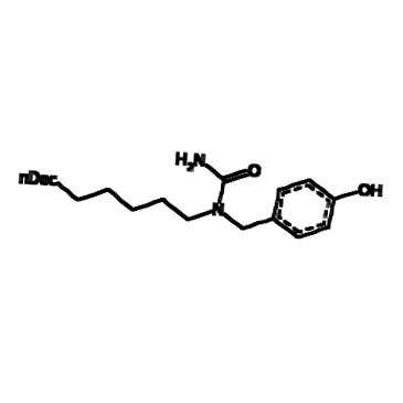 CCCCCCCCCCCCCCCN(Cc1ccc(O)cc1)C(N)=O